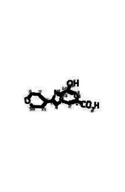 O=C(O)c1cn2cc(C3CCOCC3)nc2c(O)n1